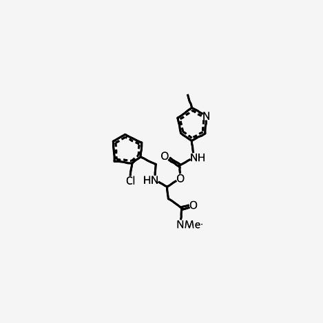 C[N]C(=O)CC(NCc1ccccc1Cl)OC(=O)Nc1ccc(C)nc1